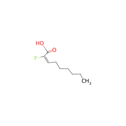 CCCCCC/C=C(/F)C(=O)O